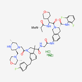 CN[C@@H](C)C(=O)N[C@H](C(=O)N1Cc2cc(NC(=O)CNC(=O)C3(C)CN(C(=O)CN4C[C@@H](C)NC[C@@H]4CN4CCOC[C@H]4C)c4cc(Cc5ccc(F)cc5)ccc43)ccc2C[C@H]1C(=O)Nc1c(F)cccc1F)C1CCOCC1.Cl.Cl.Cl